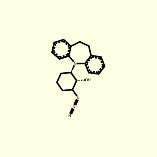 [N-]=[N+]=NC1CCC[C@@H](N2c3ccccc3CCc3ccccc32)[C@@H]1O